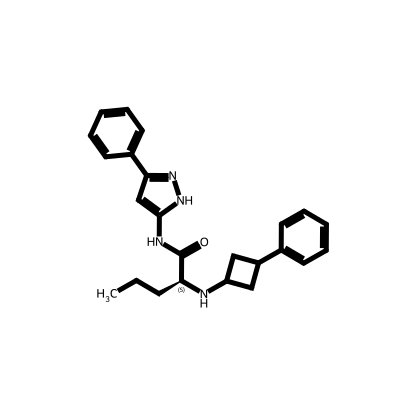 CCC[C@H](NC1CC(c2ccccc2)C1)C(=O)Nc1cc(-c2ccccc2)n[nH]1